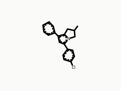 CC1Cc2c(-c3ccccc3)cc(-c3ccc(Cl)cc3)n2C1